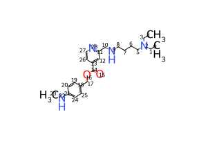 CCN(CC)CCCCNCc1cc(C(=O)OCc2ccc(NC)cc2)ccn1